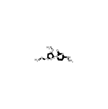 NNc1ccn([C@@H]2O[C@H](CON)C[C@@H]2ON)c(=O)n1